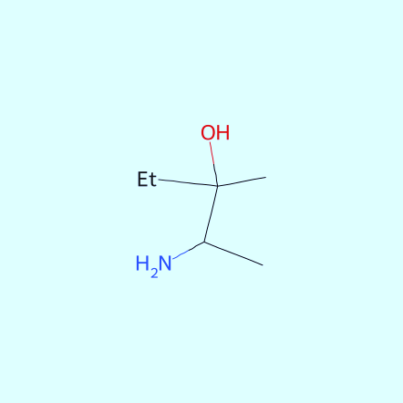 CCC(C)(O)C(C)N